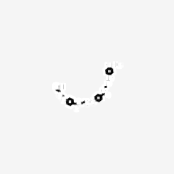 O=Cc1ccc(OCOCCOC(=O)c2ccc(OCOCCOC(=O)c3ccc(OCOCCO)cc3)cc2)cc1